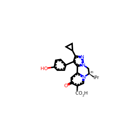 CC(C)[C@@H]1Cn2nc(C3CC3)c(-c3ccc(O)cc3)c2-c2cc(=O)c(C(=O)O)cn21